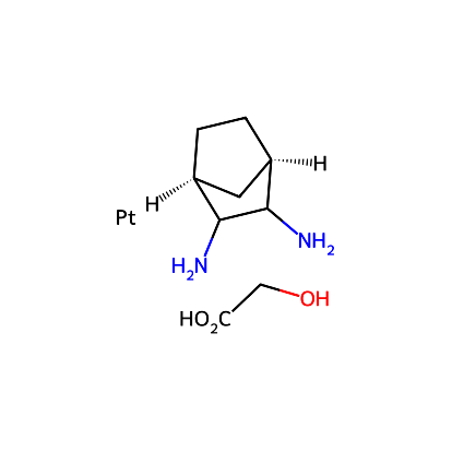 NC1C(N)[C@H]2CC[C@@H]1C2.O=C(O)CO.[Pt]